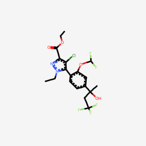 CCOC(=O)c1nn(CC)c(-c2ccc(C(C)(O)CC(F)(F)F)cc2OC(F)F)c1Cl